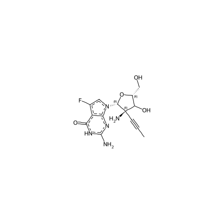 CC#C[C@@]1(N)C(O)[C@@H](CO)O[C@H]1n1cc(F)c2c(=O)[nH]c(N)nc21